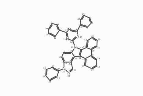 c1ccc(-c2nc(-c3ccccc3)nc(-n3c4ccc5c(cnn5-c5ccccc5)c4c4c5ccccc5c5ccccc5c43)n2)cc1